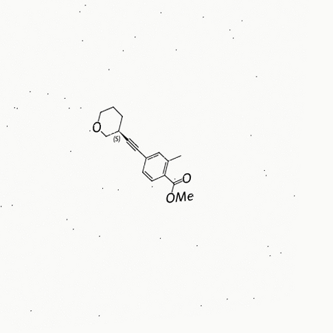 COC(=O)c1ccc(C#C[C@@H]2CCCOC2)cc1C